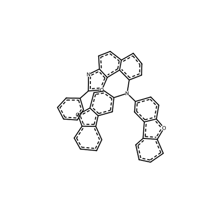 c1ccc(-c2nc3ccc4cccc(N(c5ccc6oc7ccccc7c6c5)c5ccc6oc7ccccc7c6c5)c4c3o2)cc1